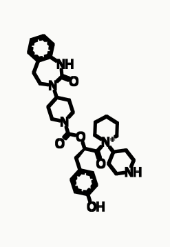 O=C(O[C@H](Cc1ccc(O)cc1)C(=O)[N+]1(C2CCNCC2)CCCCC1)N1CCC(N2CCc3ccccc3NC2=O)CC1